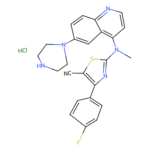 CN(c1nc(-c2ccc(F)cc2)c(C#N)s1)c1ccnc2ccc(N3CCNCC3)cc12.Cl